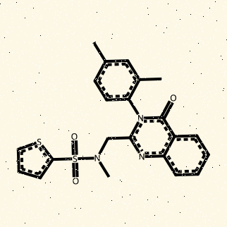 Cc1ccc(-n2c(CN(C)S(=O)(=O)c3cccs3)nc3ccccc3c2=O)c(C)c1